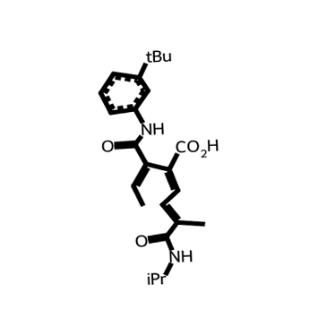 C\C=C(C(=O)Nc1cccc(C(C)(C)C)c1)/C(=C\C=C(/C)C(=O)NC(C)C)C(=O)O